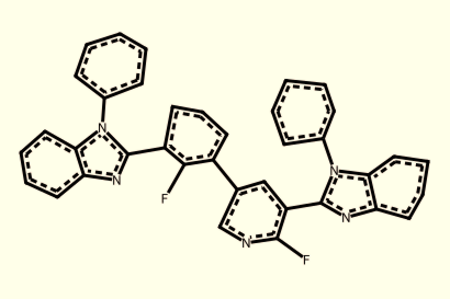 Fc1ncc(-c2cccc(-c3nc4ccccc4n3-c3ccccc3)c2F)cc1-c1nc2ccccc2n1-c1ccccc1